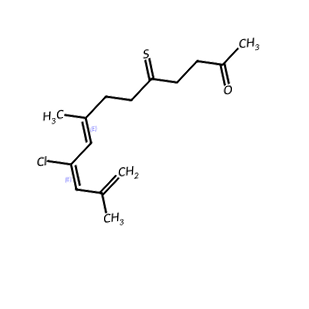 C=C(C)/C=C(Cl)\C=C(/C)CCC(=S)CCC(C)=O